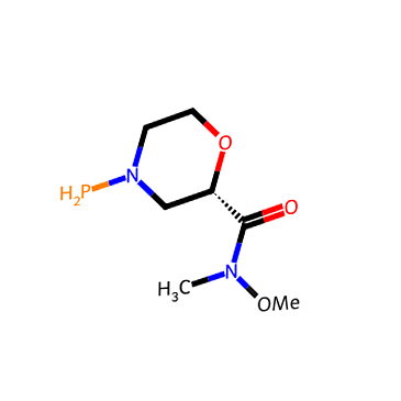 CON(C)C(=O)[C@@H]1CN(P)CCO1